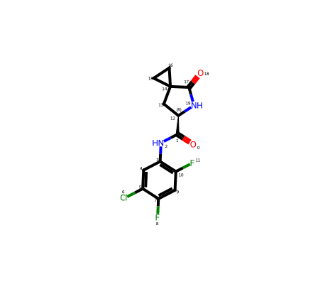 O=C(Nc1cc(Cl)c(F)cc1F)[C@H]1CC2(CC2)C(=O)N1